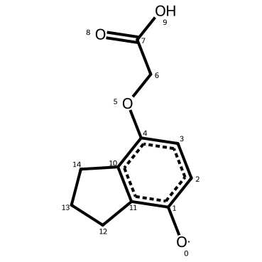 [O]c1ccc(OCC(=O)O)c2c1CCC2